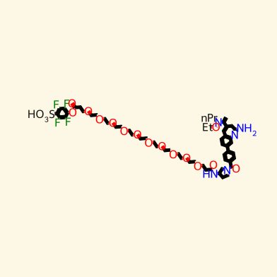 C=C(C1=Cc2ccc(-c3ccc(C(=O)N4CCC(NC(=O)CCOCCOCCOCCOCCOCCOCCOCCOCCOCCOCCC(=O)Oc5c(F)c(F)c(S(=O)(=O)O)c(F)c5F)C4)cc3)cc2N=C(N)C1)N(CCC)OCC